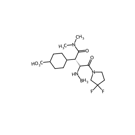 BNC(C(=O)N1CCC(F)(F)C1)[C@@H](C(=O)N(C)C)C1CCC(C(=O)O)CC1